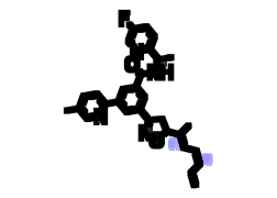 C=C/C=C\C=C(/C)C1CC(c2cc(C(=O)N[C@H](C)c3ccc(F)cn3)cc(-c3ccc(C)cn3)c2)=NO1